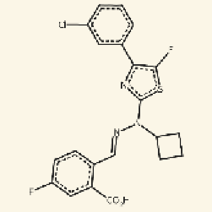 O=C(O)c1cc(F)ccc1/C=N/N(c1nc(-c2cccc(Cl)c2)c(F)s1)C1CCC1